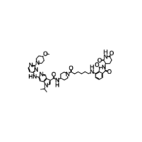 COC1CCN(c2nccc(Nc3cc4c(cn3)c(C(=O)NC3CCN(C(=O)CCCCCNc5cccc6c5C(=O)N(C5CCC(=O)NC5=O)C6=O)CC3)cn4C(C)C)n2)CC1